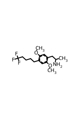 COc1cc(CC(C)N)c(OC)cc1CCCCC(F)(F)F